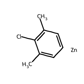 Cc1cccc(C)c1Cl.[Zn]